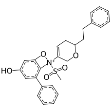 CS(=O)(=O)[N+]1(C2=CCC(CCc3ccccc3)OC2)Oc2cc(O)cc(-c3ccccc3)c21